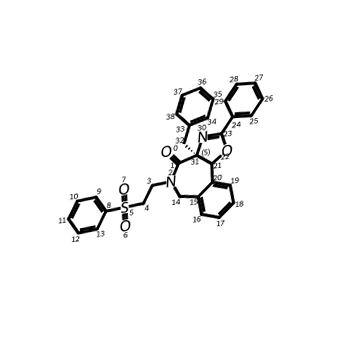 O=C1N(CCS(=O)(=O)c2ccccc2)Cc2ccccc2C2OC(c3ccccc3)=N[C@]12Cc1ccccc1